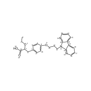 CCOC(Cc1ccc(OCCCn2c3ncccc3c3cccnc32)cc1)C(=O)O